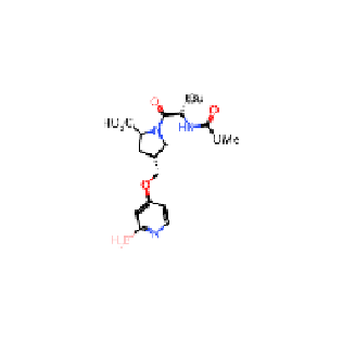 Bc1cc(OC[C@@H]2C[C@@H](C(=O)O)N(C(=O)[C@@H](NC(=O)OC)C(C)(C)C)C2)ccn1